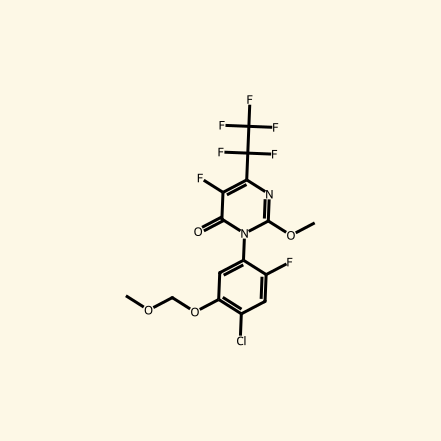 COCOc1cc(-n2c(OC)nc(C(F)(F)C(F)(F)F)c(F)c2=O)c(F)cc1Cl